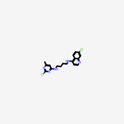 Cc1cc(NCCCCNc2ccnc3cc(Cl)ccc23)nc(Cl)n1